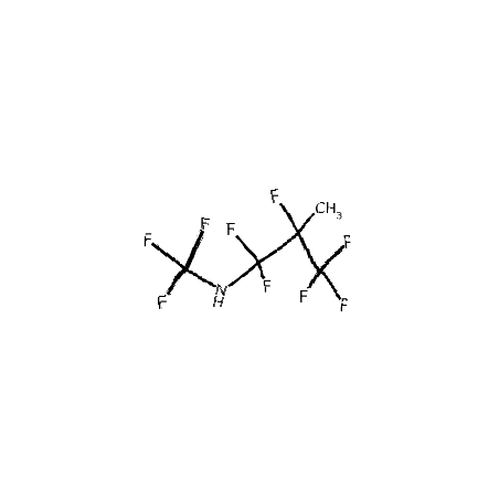 CC(F)(C(F)(F)F)C(F)(F)NC(F)(F)F